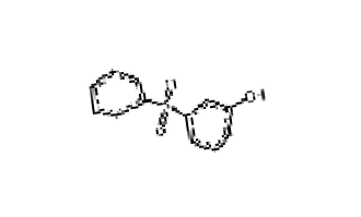 O=S(=O)(c1ccccc1)c1cc[c]c(O)c1